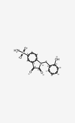 NS(=O)(=O)c1ccc2c(c1)C(=O)C(=O)N2Cc1ccccc1O